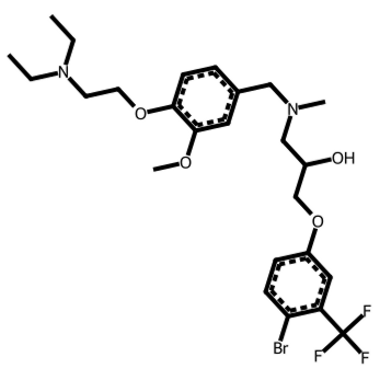 CCN(CC)CCOc1ccc(CN(C)CC(O)COc2ccc(Br)c(C(F)(F)F)c2)cc1OC